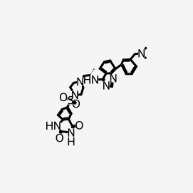 C[C@@H](CN1CCN(S(=O)(=O)c2ccc3[nH]c(=O)[nH]c(=O)c3c2)CC1)Nc1ncnc2c(-c3cccc(CN(C)C)c3)cccc12